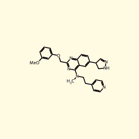 COc1cccc(OCc2nc(N(C)CCc3ccncc3)c3cc(C4C=NNC4)ccc3n2)c1